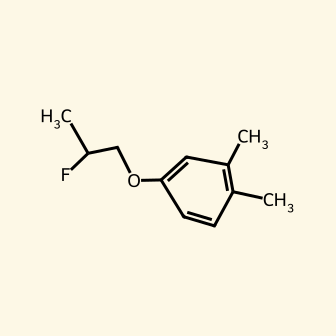 Cc1ccc(OCC(C)F)cc1C